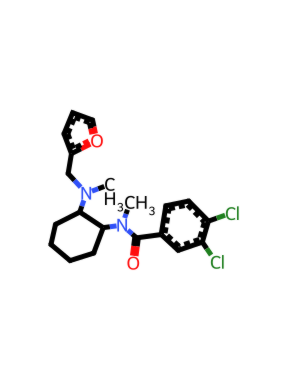 CN(Cc1ccco1)C1CCCCC1N(C)C(=O)c1ccc(Cl)c(Cl)c1